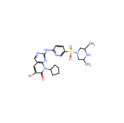 CC1CN(S(=O)(=O)c2ccc(Nc3ncc4cc(Br)c(=O)n(C5CCCC5)c4n3)nc2)CC(C)N1